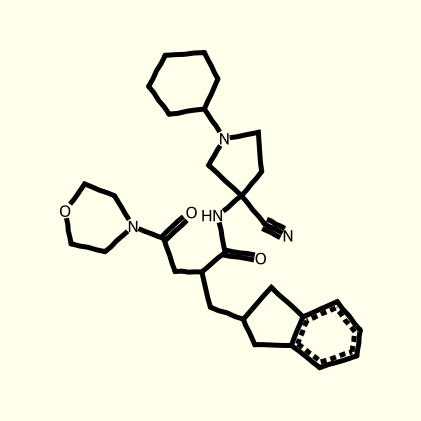 N#CC1(NC(=O)C(CC(=O)N2CCOCC2)CC2Cc3ccccc3C2)CCN(C2CCCCC2)C1